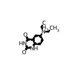 CCN(CC)c1ccc2[nH]c(=O)[nH]c(=O)c2c1